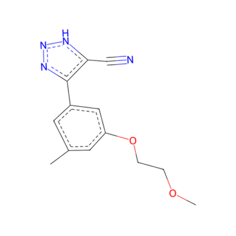 COCCOc1cc(C)cc(-c2nn[nH]c2C#N)c1